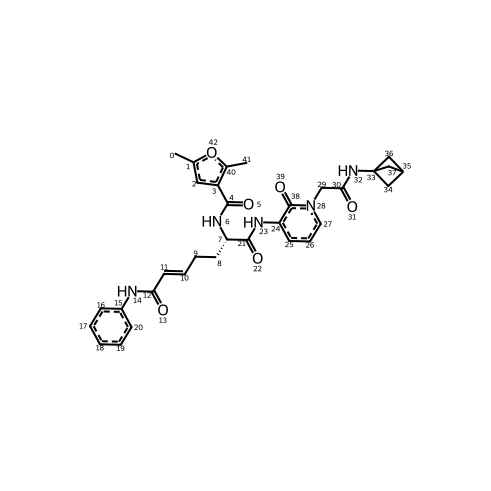 Cc1cc(C(=O)N[C@@H](CC/C=C/C(=O)Nc2ccccc2)C(=O)Nc2cccn(CC(=O)NC34CC(C3)C4)c2=O)c(C)o1